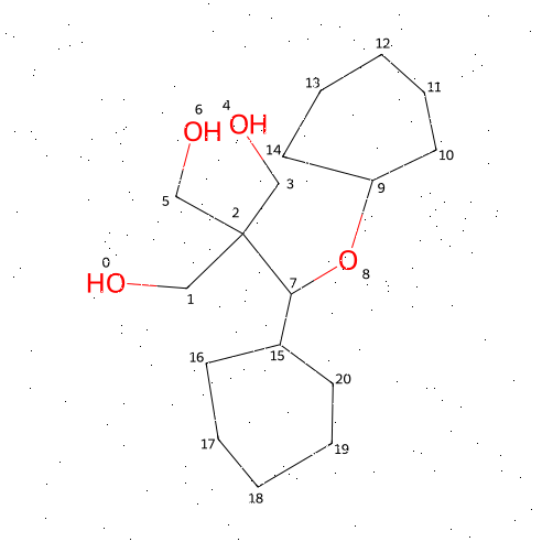 OCC(CO)(CO)C(OC1CCCCC1)C1CCCCC1